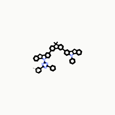 C[C@@H]1C=C(c2nc(-c3ccccc3)nc(N3c4ccc(-c5ccc6c(c5)-c5cc(-c7ccc8c(c7)C7Cc9ccccc9C7N8c7ccccc7)ccc5C6(C)C)cc4C4Cc5ccccc5C43)n2)C=CC1